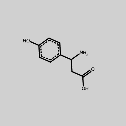 NC(CC(=O)O)c1ccc(O)cc1